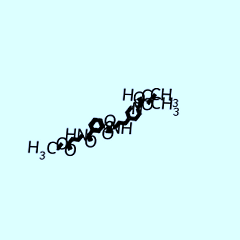 CCOC(=O)CCNC(=O)c1cccc(S(=O)(=O)NCCC2CCN(C(=O)OC(C)(C)C)CC2)c1